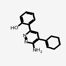 Nc1nnc(-c2ccccc2O)cc1C1=CCCCC1